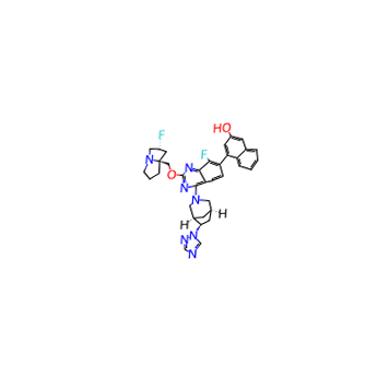 Oc1cc(-c2ccc3c(N4C[C@@H]5C[C@H](C4)[C@H](n4cncn4)C5)nc(OC[C@@]45CCCN4C[C@H](F)C5)nc3c2F)c2ccccc2c1